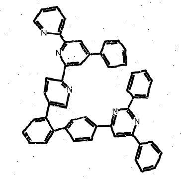 c1ccc(-c2cc(-c3ccccn3)nc(-c3ccc(-c4ccccc4-c4ccc(-c5cc(-c6ccccc6)nc(-c6ccccc6)n5)cc4)cn3)c2)cc1